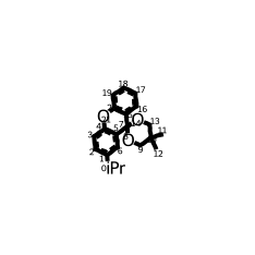 CC(C)c1ccc2c(c1)C1(OCC(C)(C)CO1)c1ccccc1O2